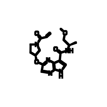 C=CC(=O)N1CC[C@H](Oc2cnc3[nH]cc(C(=O)N[C@H](C)COC)c3n2)C1